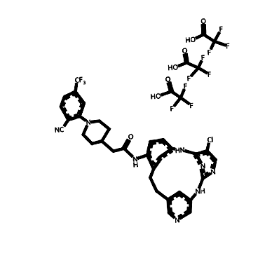 N#Cc1ccc(C(F)(F)F)cc1N1CCC(CC(=O)Nc2ccc3cc2CCc2cncc(c2)Nc2ncc(Cl)c(n2)N3)CC1.O=C(O)C(F)(F)F.O=C(O)C(F)(F)F.O=C(O)C(F)(F)F